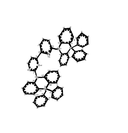 c1ccc([Si]2(c3ccccc3)c3ccccc3N(c3cccc(-c4ccnc(N5c6ccccc6[Si](c6ccccc6)(c6ccccc6)c6ccccc65)n4)n3)c3ccccc32)cc1